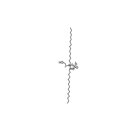 CCCCCCCCCCCCCCCCN(CCCCCCCCCCCCCCCC)C(C)CO.COS(=O)(=O)O